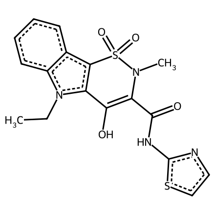 CCn1c2c(c3ccccc31)S(=O)(=O)N(C)C(C(=O)Nc1nccs1)=C2O